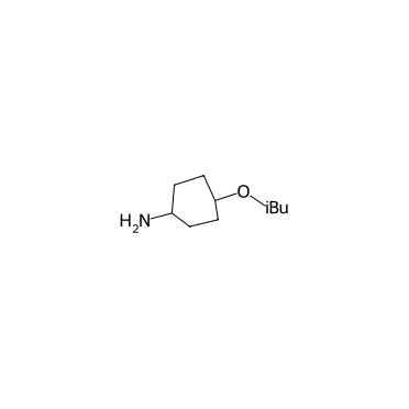 CCC(C)OC1CCC(N)CC1